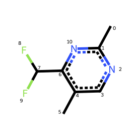 Cc1ncc(C)c(C(F)F)n1